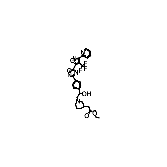 CCOC(=O)C[C@H]1CCCN(CC(O)c2ccc(-c3noc(-c4onc(-c5ccccn5)c4C(F)(F)F)n3)cc2)C1